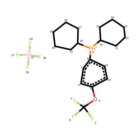 FC(F)(F)Oc1ccc([PH+](C2CCCCC2)C2CCCCC2)cc1.F[B-](F)(F)F